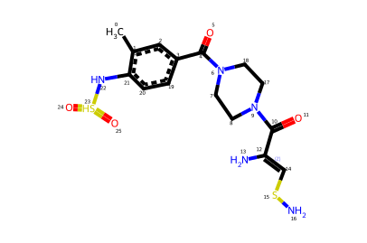 Cc1cc(C(=O)N2CCN(C(=O)/C(N)=C/SN)CC2)ccc1N[SH](=O)=O